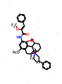 CC(=O)Oc1cc(NC(=O)C(=Cc2ccccc2)OC(F)(F)F)c2c3c1C[C@@H]1[C@@H]4CCC[C@H](O2)[C@]34CC[N+]1(CCc1ccccc1)CC(C)C